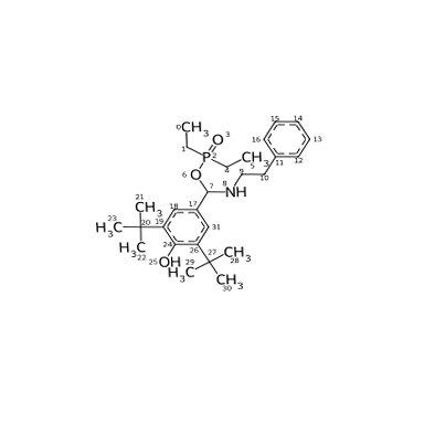 CCP(=O)(CC)OC(NCCc1ccccc1)c1cc(C(C)(C)C)c(O)c(C(C)(C)C)c1